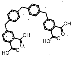 O=C(O)c1ccc(Cc2ccc(Cc3ccc(Cc4ccc(C(=O)O)c(C(=O)O)c4)cc3)cc2)cc1C(=O)O